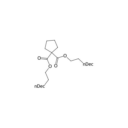 CCCCCCCCCCCCOC(=O)C1(C(=O)OCCCCCCCCCCCC)CCCC1